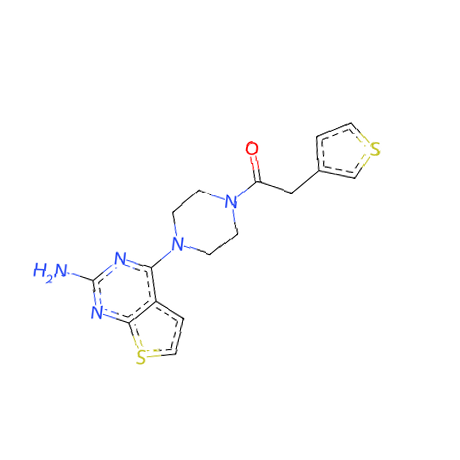 Nc1nc(N2CCN(C(=O)Cc3ccsc3)CC2)c2ccsc2n1